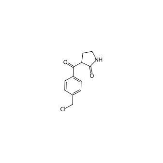 O=C1NCCC1C(=O)c1ccc(CCl)cc1